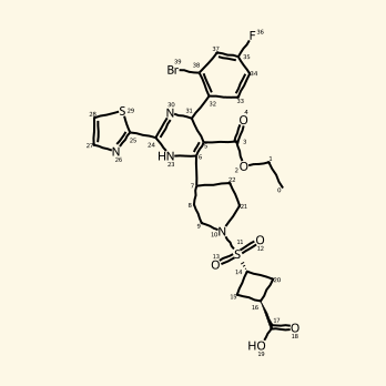 CCOC(=O)C1=C(C2CCN(S(=O)(=O)[C@H]3C[C@H](C(=O)O)C3)CC2)NC(c2nccs2)=NC1c1ccc(F)cc1Br